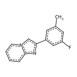 Cc1cc(F)cc(-c2cn3ccccc3n2)c1